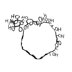 C[C@@H]1[C@H](O)[C@@H](C)/C=C/C=C/C=C/C=C/C=C/C=C/C=C/[C@H](O[C@@H]2O[C@H](C)[C@@H](O)[C@H](N)[C@H]2O)C[C@@H]2OC(O)(C[C@@H](O)C[C@@H](O)[C@H](O)CC[C@@H](O)C[C@@H](O)CC(=O)O[C@H]1C)C[C@H](O)[C@H]2C(=O)O